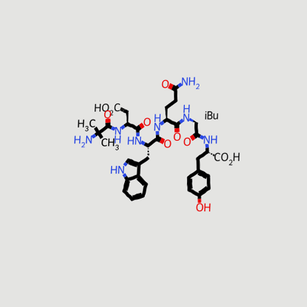 CC[C@H](C)[C@H](NC(=O)[C@H](CCC(N)=O)NC(=O)[C@H](Cc1c[nH]c2ccccc12)NC(=O)[C@H](CC(=O)O)NC(=O)C(C)(C)N)C(=O)N[C@@H](Cc1ccc(O)cc1)C(=O)O